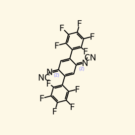 N#C/N=C1C=C(c2c(F)c(F)c(F)c(F)c2F)/C(=N\C#N)C=C/1c1c(F)c(F)c(F)c(F)c1F